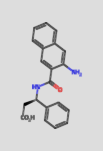 Nc1cc2ccccc2cc1C(=O)N[C@H](CC(=O)O)c1ccccc1